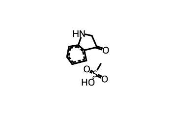 CS(=O)(=O)O.O=C1CNc2ccccc21